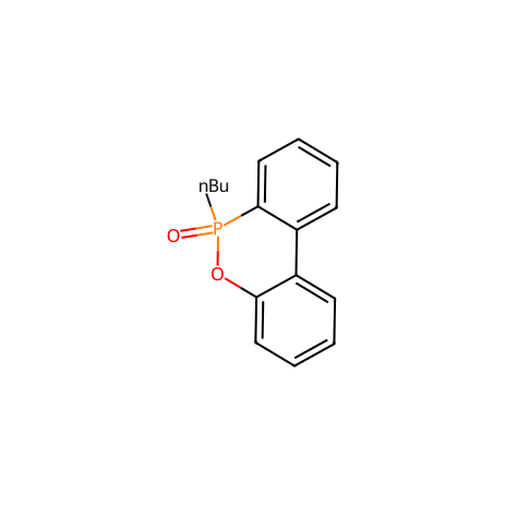 CCCCP1(=O)Oc2ccccc2-c2ccccc21